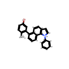 O=[N+]([O-])c1ccc(Br)cc1-c1cccc2c1ccc1ccn(-c3ccccc3)c12